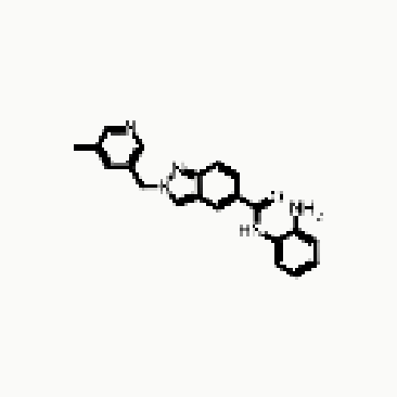 Cc1cncc(Cn2cc3cc(C(=O)Nc4ccccc4N)ccc3n2)c1